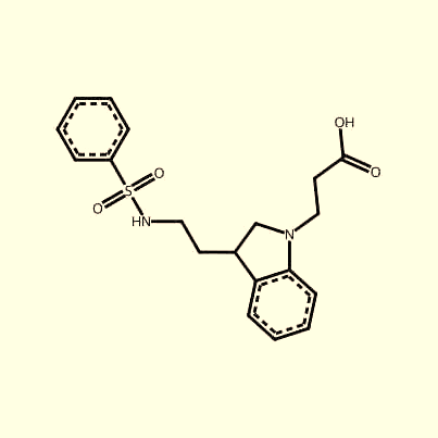 O=C(O)CCN1CC(CCNS(=O)(=O)c2ccccc2)c2ccccc21